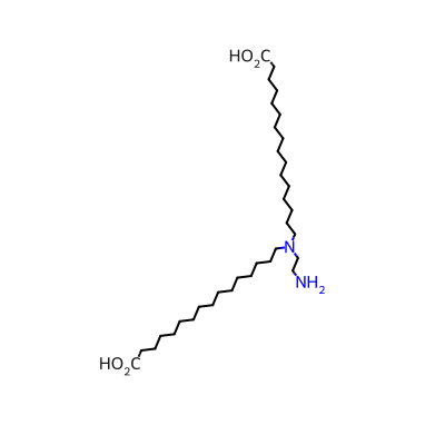 NCCN(CCCCCCCCCCCCCCCC(=O)O)CCCCCCCCCCCCCCCC(=O)O